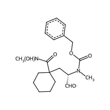 CN(O)C(=O)C1(C[C@@H]([C]=O)N(C)C(=O)OCc2ccccc2)CCCCC1